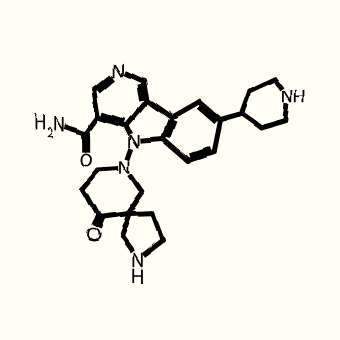 NC(=O)c1cncc2c3cc(C4CCNCC4)ccc3n(N3CCC(=O)C4(CCNC4)C3)c12